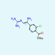 COC(=O)c1ccc(/C(N)=C/N=C(N)N)cc1Cl